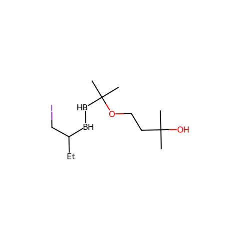 CCC(BBC(C)(C)OCCC(C)(C)O)CI